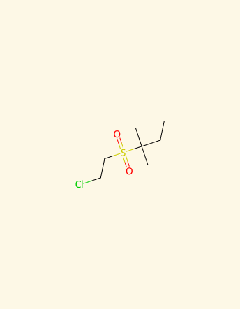 CCC(C)(C)S(=O)(=O)CCCl